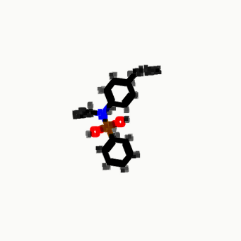 CCCCCCc1ccc(N(CCCC)S(=O)(=O)c2ccccc2)cc1